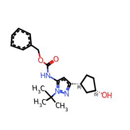 CC(C)(C)n1nc([C@@H]2CC[C@H](O)C2)cc1NC(=O)OCc1ccccc1